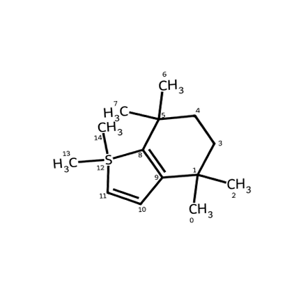 CC1(C)CCC(C)(C)C2=C1C=CS2(C)C